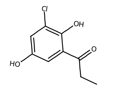 CCC(=O)c1cc(O)cc(Cl)c1O